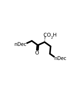 CCCCCCCCCCCC[C@@H](C(=O)O)C(=O)CCCCCCCCCCC